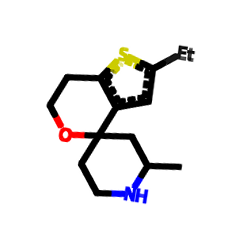 CCc1cc2c(s1)CCOC21CCNC(C)C1